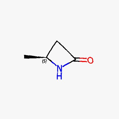 C[C@H]1CC(=O)N1